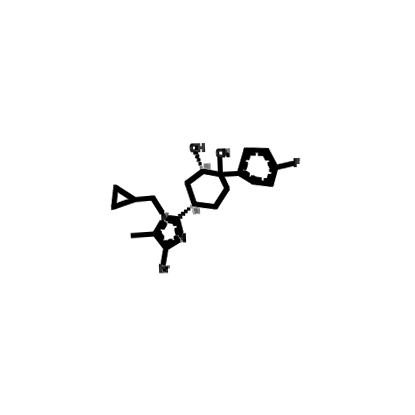 Cc1c(Br)nc([C@H]2CCC(C#N)(c3ccc(F)cc3)[C@@H](O)C2)n1CC1CC1